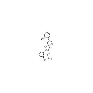 CC(OC(=O)NC1(Cl)C=C(c2ccccc2Cl)SN1)c1ccccc1Br